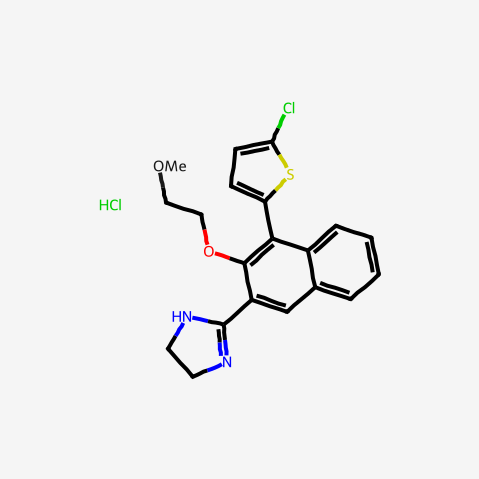 COCCOc1c(C2=NCCN2)cc2ccccc2c1-c1ccc(Cl)s1.Cl